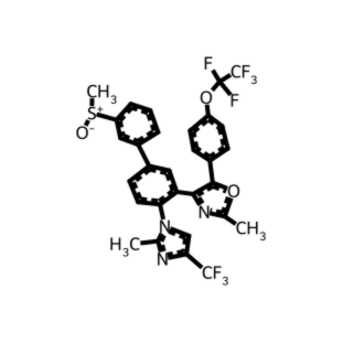 Cc1nc(-c2cc(-c3cccc([S+](C)[O-])c3)ccc2-n2cc(C(F)(F)F)nc2C)c(-c2ccc(OC(F)(F)C(F)(F)F)cc2)o1